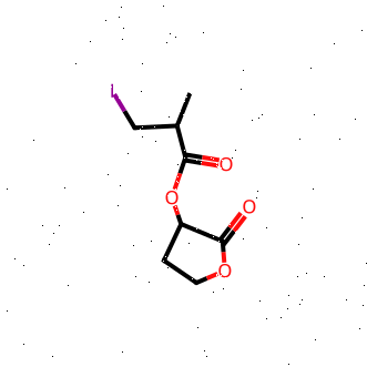 CC(CI)C(=O)OC1CCOC1=O